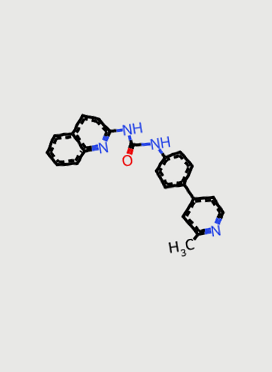 Cc1cc(-c2ccc(NC(=O)Nc3ccc4ccccc4n3)cc2)ccn1